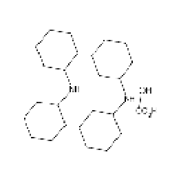 C1CCC(NC2CCCCC2)CC1.C1CCC(NC2CCCCC2)CC1.O=C(O)O